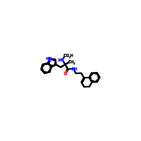 CC(Cc1c[nH]c2ccccc12)(NC(=O)O)C(=O)NCCC1=CCCc2ccccc21